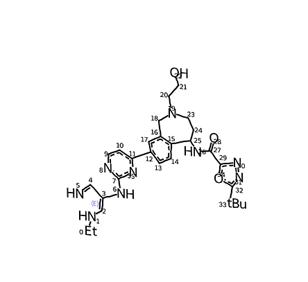 CCN/C=C(\C=N)Nc1nccc(-c2ccc3c(c2)CN(CCO)CCC3NC(=O)c2nnc(C(C)(C)C)o2)n1